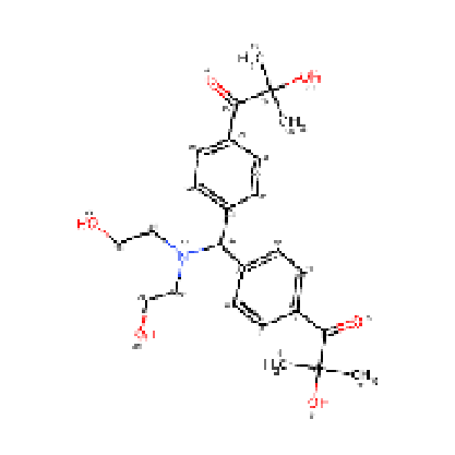 CC(C)(O)C(=O)c1ccc(C(c2ccc(C(=O)C(C)(C)O)cc2)N(CCO)CCO)cc1